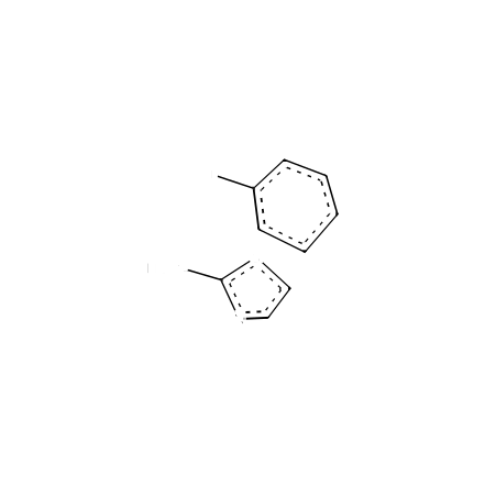 CCc1ccccc1.O=S(=O)(O)c1nccs1